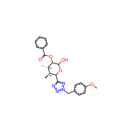 COc1ccc(Cn2nnc(C3OC(O)C(OC(=O)c4ccccc4)[C@@H](C)[C@@H]3C)n2)cc1